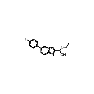 CCOC(O)c1cn2cc(-c3ccc(F)cc3)ccc2n1